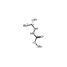 CCC[C@H](NNC(=O)OC(C)(C)C)C(C)(C)C